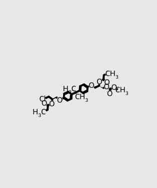 CCC(=O)O[C@H](COC(=O)OC)COc1ccc(C(C)(C)c2ccc(OC[C@H](CCl)OC(=O)CC)cc2)cc1